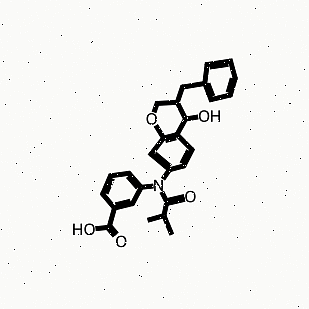 CC(C)C(=O)N(c1cccc(C(=O)O)c1)c1ccc2c(c1)OCC(Cc1ccccc1)C2O